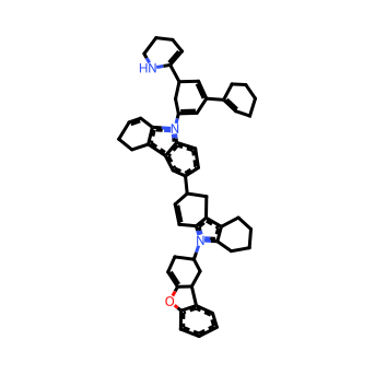 C1=Cc2c(c3cc(C4C=Cc5c(c6c(n5C5CC=C7Oc8ccccc8C7C5)CCCC6)C4)ccc3n2C2=CC(C3=CCCCC3)=CC(C3=CCCCN3)C2)CC1